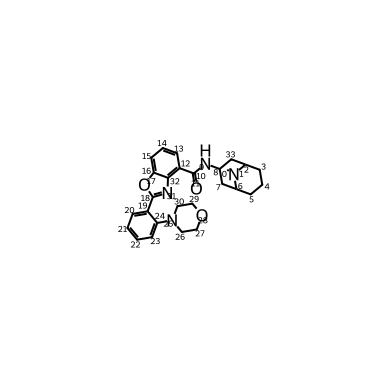 CN1C2CCCC1CC(NC(=O)c1cccc3oc(-c4ccccc4N4CCOCC4)nc13)C2